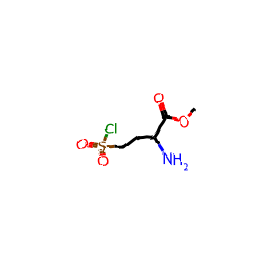 COC(=O)C(N)CCS(=O)(=O)Cl